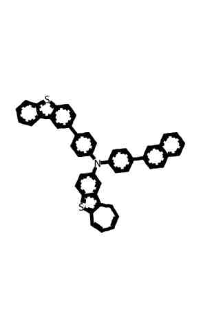 C1=CCc2c(sc3ccc(N(c4ccc(-c5ccc6ccccc6c5)cc4)c4ccc(-c5ccc6sc7ccccc7c6c5)cc4)cc23)C=C1